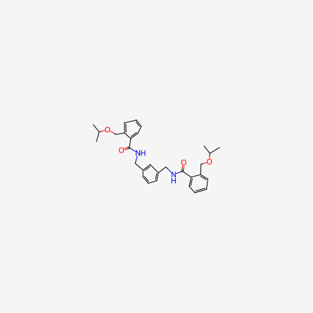 CC(C)OCc1ccccc1C(=O)NCc1cccc(CNC(=O)c2ccccc2COC(C)C)c1